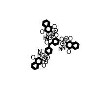 [N-]=[N+]=C1C(=O)c2ccccc2C(=O)C1S(=O)(=O)Oc1ccc(C(=O)c2ccc(OS(=O)(=O)C3C(=O)c4ccccc4C(=O)C3=[N+]=[N-])c(OS(=O)(=O)C3C(=O)c4ccccc4C(=O)C3=[N+]=[N-])c2O)cc1